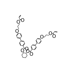 C=CC(=O)OCCCOc1ccc(-c2ccc(C(=O)O[C@@H]3CCCC[C@H]3OC(=O)c3ccc(-c4ccc(OCCCOC(=O)C=C)cc4)cc3)cc2)cc1